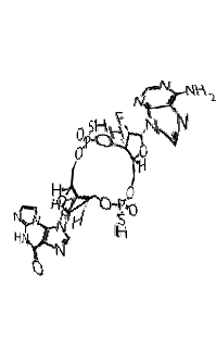 Nc1ncnc2c1ncn2[C@@H]1O[C@@H]2CO[P@](=O)(S)O[C@@H]3[C@H](O)[C@@H](CO[P@@](=O)(S)O[C@H]2[C@H]1F)O[C@H]3n1cnc2c(=O)[nH]c3nccn3c21